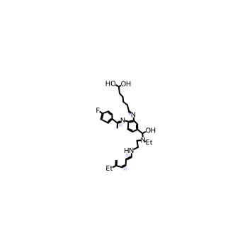 C=C(/C=C\C=C\NCCN(CC)C(O)c1ccc(/N=C(\C)c2ccc(F)cc2)c(/N=C/CCCCC(O)O)c1)CC